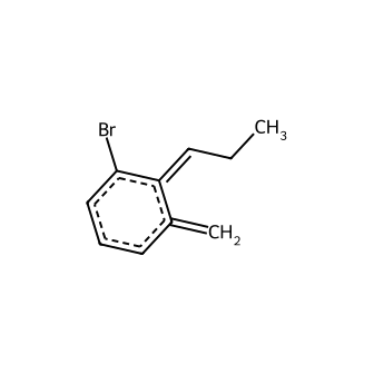 C=c1cccc(Br)/c1=C/CC